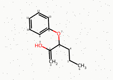 C=C(O)C(CCC)Oc1ccccc1